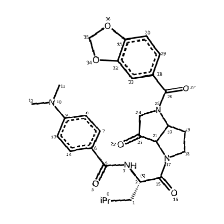 CC(C)C[C@H](NC(=O)c1ccc(N(C)C)cc1)C(=O)N1CCC2C1C(=O)CN2C(=O)c1ccc2c(c1)OCO2